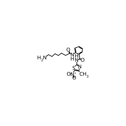 Cc1nc(NC(=O)c2ccccc2NC(=O)CCCCCCN)sc1[N+](=O)[O-]